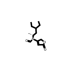 CCC(CC)C[C@@H](C)N(C=O)C1=CC(=O)OC1